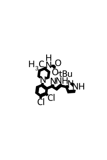 CC1(NC(=O)OC(C)(C)C)CCN(c2ccc(Cl)c(Cl)c2-c2cc(-c3cc[nH]n3)[nH]n2)CC1